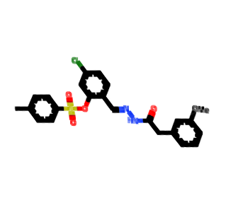 COc1cccc(CC(=O)N/N=C/c2ccc(Cl)cc2OS(=O)(=O)c2ccc(C)cc2)c1